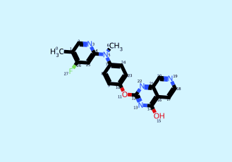 Cc1cnc(N(C)c2ccc(Oc3nc(O)c4ccncc4n3)cc2)cc1F